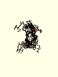 C=CC(=O)N(C)[C@H]1CN(C(=O)N(C)[C@H](C(=O)N[C@H]2Cc3nc(cs3)-c3ccc4c(c3)c(c(/C(C=C)=C(/N=C\C)[C@H](C)OC)n4CC)CC(C)(C)COC(=O)C3CCCN(N3)C2=O)C(C)C)C[C@@H]1F